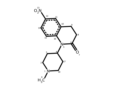 CN1CCC(N2C(=O)CCc3cc([N+](=O)[O-])ccc32)CC1